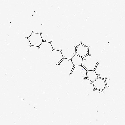 O=C1/C(=C2/C(=O)N(C(=O)CCCN3CCOCC3)c3ccccc32)Nc2ccccc21